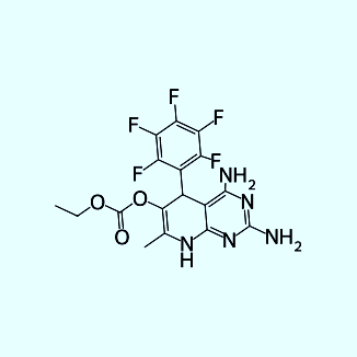 CCOC(=O)OC1=C(C)Nc2nc(N)nc(N)c2C1c1c(F)c(F)c(F)c(F)c1F